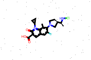 Cc1c(N2CC[C@@H]([C@H](C)NCl)C2)c(F)cc2cc(C(=O)O)c(=O)n(C3CC3)c12